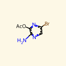 CC(=O)Oc1nc(Br)cnc1N